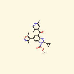 Cc1cc(C(=O)c2cc(-c3c(C)noc3C)cc3c2nc(C2CC2)n3C(=O)OC(C)(C)C)c(C)cn1